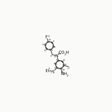 CCSc1cc(N(Cc2ccc(F)cc2)C(=O)O)cc(C)c1N